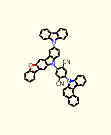 N#Cc1cc(-n2c3ccccc3c3c4ccccc4ccc32)c(C#N)cc1-n1c2ccc(-n3c4ccccc4c4ccccc43)cc2c2cc3oc4ccccc4c3cc21